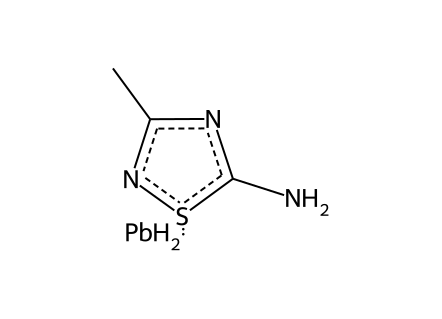 Cc1nsc(N)n1.[PbH2]